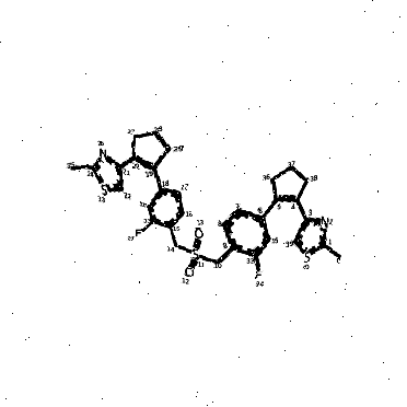 Cc1nc(C2=C(c3ccc(CS(=O)(=O)Cc4ccc(C5=C(c6csc(C)n6)CCC5)cc4F)c(F)c3)CCC2)cs1